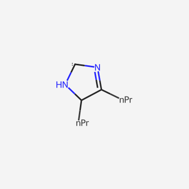 CCCC1=N[C]NC1CCC